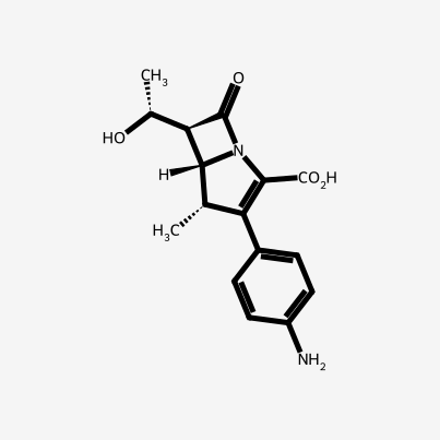 C[C@@H](O)[C@H]1C(=O)N2C(C(=O)O)=C(c3ccc(N)cc3)[C@H](C)[C@H]12